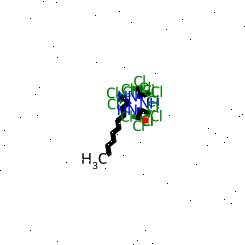 CCCCCCCCCC1(C(Cl)(Cl)Cl)NC(C(Cl)(Cl)Cl)(C(Cl)(Cl)Cl)NC(C(Cl)(Cl)Cl)(C(Cl)(Cl)Cl)N1